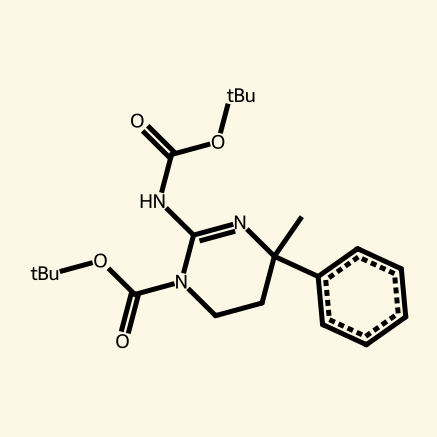 CC(C)(C)OC(=O)NC1=NC(C)(c2ccccc2)CCN1C(=O)OC(C)(C)C